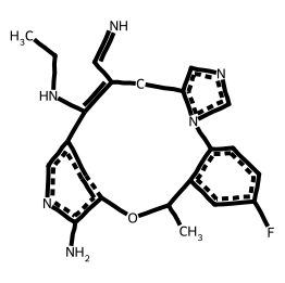 CCN/C1=C(\C=N)Cc2cncn2-c2ccc(F)cc2C(C)Oc2cc1cnc2N